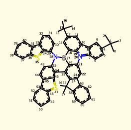 CC(C)(C)c1ccc2c(c1)c1cc(C(C)(C)C)cc3c1n2-c1cc2c(c4c1B3N(c1cccc3c1sc1ccccc13)c1ccc3c(sc5ccccc53)c1-4)C(C)(C)c1ccccc1-2